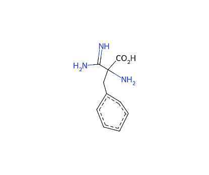 N=C(N)C(N)(Cc1ccccc1)C(=O)O